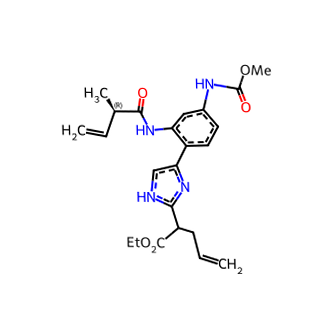 C=CCC(C(=O)OCC)c1nc(-c2ccc(NC(=O)OC)cc2NC(=O)[C@H](C)C=C)c[nH]1